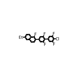 CCc1ccc2c(F)c(-c3cc(F)c(-c4cc(F)c(Cl)c(F)c4)c(F)c3)ccc2c1